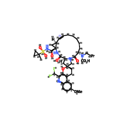 COc1ccc2nc(C(F)F)c3c(c2c1)CC[C@]1(C[C@H]2C(=O)N[C@]4(C(=O)NS(=O)(=O)C5(C)CC5)C[C@H]4/C=C\CCCCC[C@H](N(CC(C)C)C(=O)O)C(=O)N2C1)O3